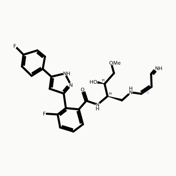 COC[C@H](O)[C@@H](CN/C=C\C=N)NC(=O)c1cccc(F)c1-c1cc(-c2ccc(F)cc2)[nH]n1